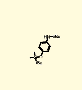 CCCCNc1ccc(O[Si](C)(C)C(C)(C)C)cc1